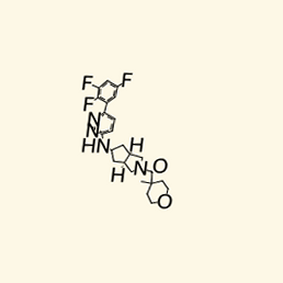 CC1(C(=O)N2C[C@H]3C[C@H](Nc4ccc(-c5cc(F)cc(F)c5F)nn4)C[C@H]3C2)CCOCC1